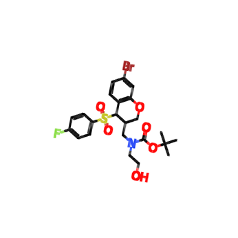 CC(C)(C)OC(=O)N(CCO)CC1COc2cc(Br)ccc2C1S(=O)(=O)c1ccc(F)cc1